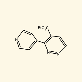 CCOC(=O)c1ccnnc1-c1ccncc1